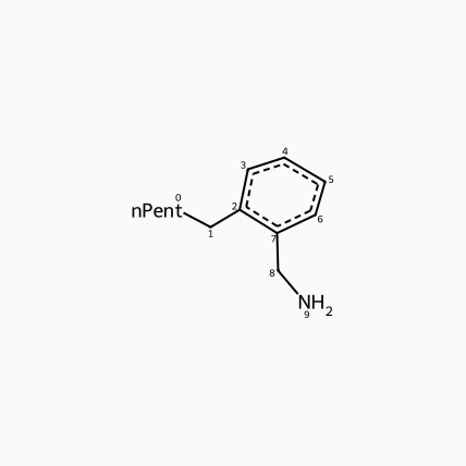 CCCCCCc1ccccc1CN